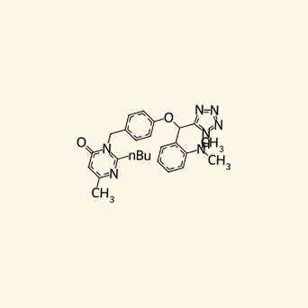 CCCCc1nc(C)cc(=O)n1Cc1ccc(OC(c2nnn[nH]2)c2ccccc2N(C)C)cc1